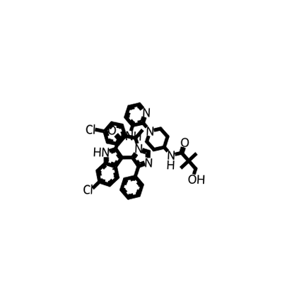 CC(c1ccc(Cl)cc1)n1cnc(-c2ccccc2)c1-c1c(C(=O)Nc2cccnc2N2CCC(NC(=O)C(C)(C)CO)CC2)[nH]c2cc(Cl)ccc12